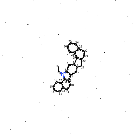 CCn1c2cc3c(cc2c2ccc4ccccc4c21)Cc1ccc2ccccc2c1-3